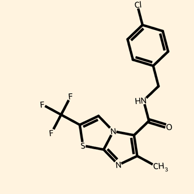 Cc1nc2sc(C(F)(F)F)cn2c1C(=O)NCc1ccc(Cl)cc1